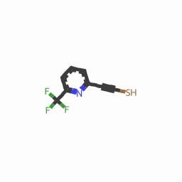 FC(F)(F)c1cccc(C#CS)n1